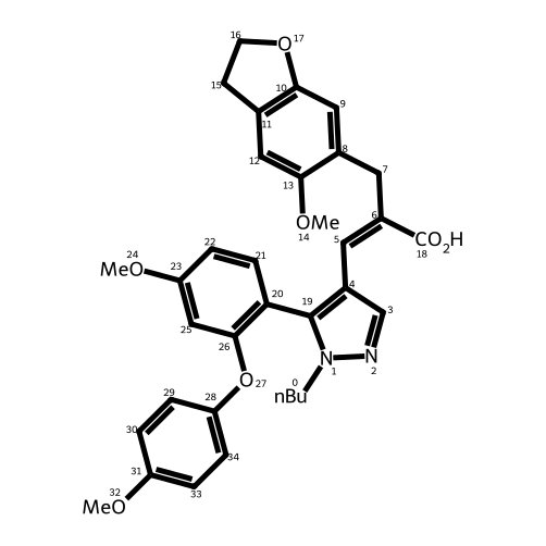 CCCCn1ncc(C=C(Cc2cc3c(cc2OC)CCO3)C(=O)O)c1-c1ccc(OC)cc1Oc1ccc(OC)cc1